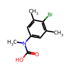 Cc1cc(N(C)C(=O)O)cc(C)c1Br